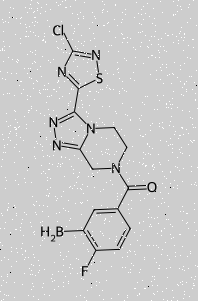 Bc1cc(C(=O)N2CCn3c(nnc3-c3nc(Cl)ns3)C2)ccc1F